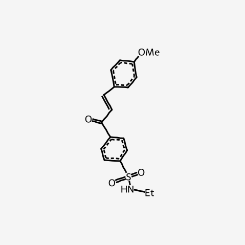 CCNS(=O)(=O)c1ccc(C(=O)C=Cc2ccc(OC)cc2)cc1